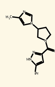 Cc1cn(C2CCN(C(=O)c3cc(C(C)C)[nH]n3)C2)cn1